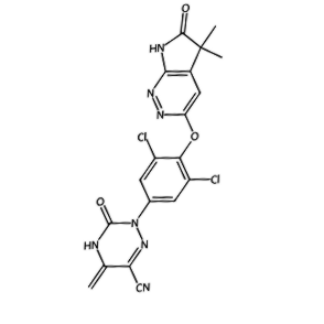 C=C1NC(=O)N(c2cc(Cl)c(Oc3cc4c(nn3)NC(=O)C4(C)C)c(Cl)c2)N=C1C#N